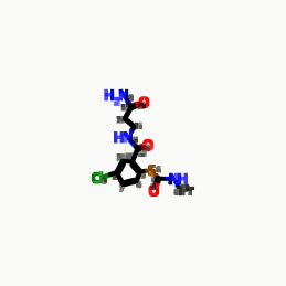 CC(C)NC(=O)Sc1ccc(Cl)cc1C(=O)NCCC(N)=O